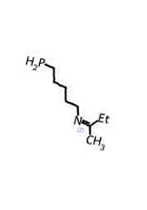 CC/C(C)=N\CCCCCP